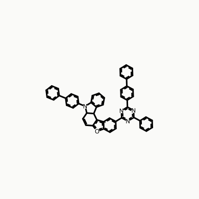 C1=CC2C(c3ccccc3N2c2ccc(-c3ccccc3)cc2)c2c1oc1ccc(-c3nc(-c4ccccc4)nc(-c4ccc(-c5ccccc5)cc4)n3)cc21